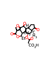 CC[C@H]1OC(=O)c2coc3c2[C@@]1(C)C1=C(C3=O)[C@@H]2CCC(=O)[C@@]2(C)C[C@H]1OC(=O)CC(=O)O